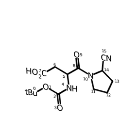 CC(C)(C)OC(=O)NC(CC(=O)O)C(=O)N1CCCC1C#N